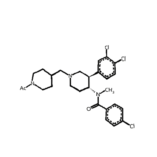 CC(=O)N1CCC(CN2CC[C@@H](N(C)C(=O)c3ccc(Cl)cc3)[C@H](c3ccc(Cl)c(Cl)c3)C2)CC1